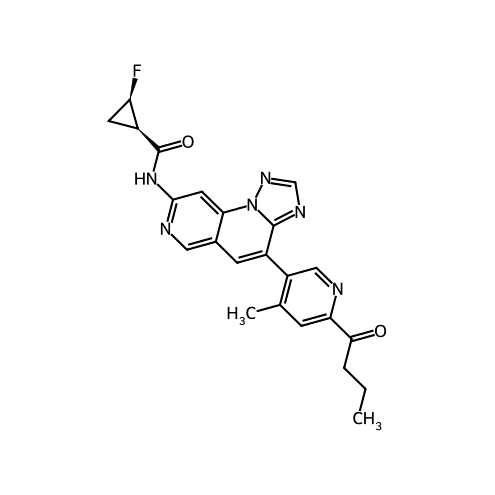 CCCC(=O)c1cc(C)c(-c2cc3cnc(NC(=O)[C@H]4C[C@H]4F)cc3n3ncnc23)cn1